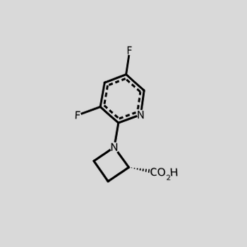 O=C(O)[C@@H]1CCN1c1ncc(F)cc1F